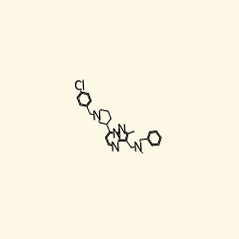 Cc1nn2c(C3CCCN(Cc4ccc(Cl)cc4)C3)ccnc2c1CN(C)Cc1ccccc1